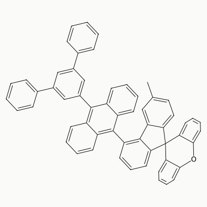 Cc1ccc2c(c1)-c1c(-c3c4ccccc4c(-c4cc(-c5ccccc5)cc(-c5ccccc5)c4)c4ccccc34)cccc1C21c2ccccc2Oc2ccccc21